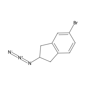 [N-]=[N+]=NC1Cc2ccc(Br)cc2C1